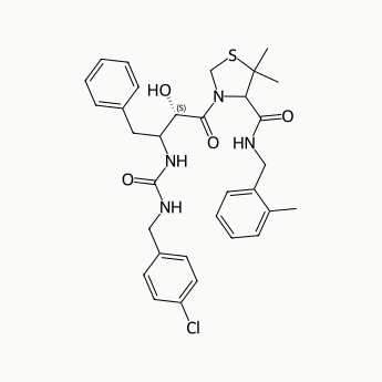 Cc1ccccc1CNC(=O)C1N(C(=O)[C@@H](O)C(Cc2ccccc2)NC(=O)NCc2ccc(Cl)cc2)CSC1(C)C